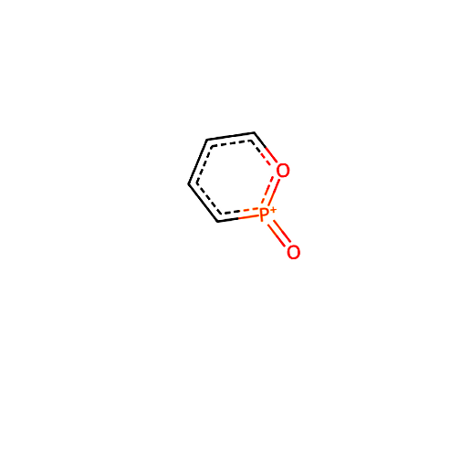 O=[p+]1cccco1